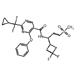 CS(=O)(=O)C=CC(NC(=O)c1cnc(C(F)(F)C2CC2)nc1Oc1ccccc1)C1CC(F)(F)C1